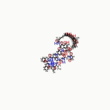 CC[C@H](C)[C@H](NC(=O)[C@@H]1CCCN1C(=O)CNC(=O)CCN1C(=O)C=CC1=O)C(=O)N[C@@H](CC(C)C)C(=O)N[C@@H](Cc1ccccc1)C(=O)N[C@@H](Cc1ccccc1)C(=O)NC1CCN(c2cc(O)c3nc4c5c6c7c(C)c(O)c5c(=O)c(c-4oc3c2)NC(=O)/C(C)=C\C=C\[C@H](C)[C@H](O)[C@@H](C)[C@@H](O)[C@@H](C)[C@H](OC(C)=O)[C@H](C)[C@@H](OC)/C=C/O[C@@](C)(O7)C6=O)CC1